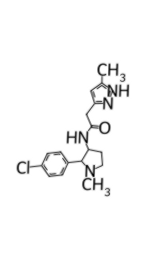 Cc1cc(CC(=O)NC2CCN(C)C2c2ccc(Cl)cc2)n[nH]1